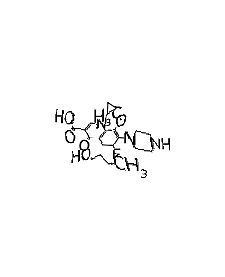 CCCCO.COc1c(N2CCNCC2)c(F)cc2c(=O)c(C(=O)O)cn(C3CC3)c12